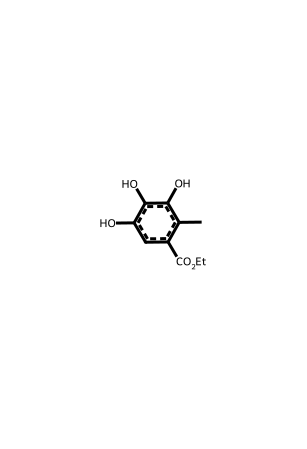 CCOC(=O)c1cc(O)c(O)c(O)c1C